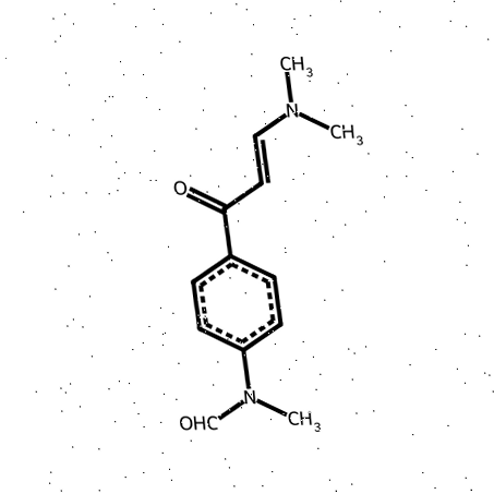 CN(C)/C=C/C(=O)c1ccc(N(C)C=O)cc1